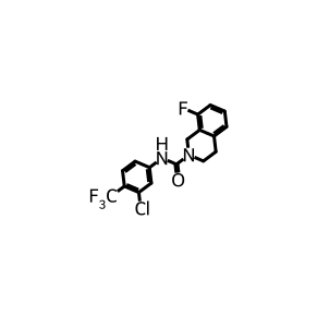 O=C(Nc1ccc(C(F)(F)F)c(Cl)c1)N1CCc2cccc(F)c2C1